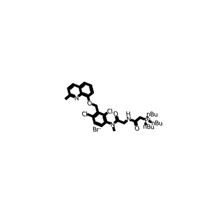 CCCC[P+](CCCC)(CCCC)CC(=O)NCC(=O)N(C)c1ccc(Cl)c(COc2cccc3ccc(C)nc23)c1Cl.[Br-]